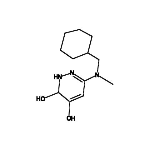 CN(CC1CCCCC1)C1=NNC(O)C(O)=C1